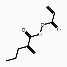 C=CC(=O)OOC(=O)C(=C)CCC